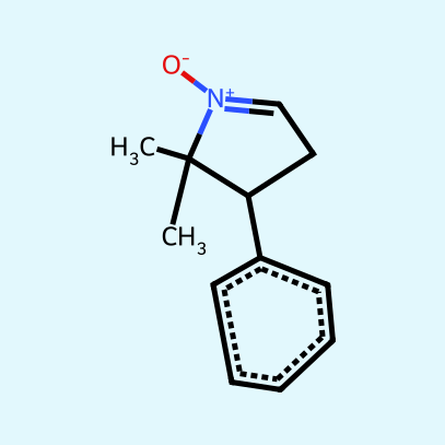 CC1(C)C(c2ccccc2)CC=[N+]1[O-]